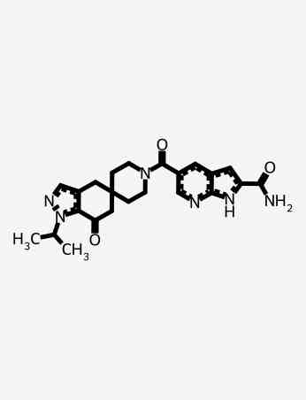 CC(C)n1ncc2c1C(=O)CC1(CCN(C(=O)c3cnc4[nH]c(C(N)=O)cc4c3)CC1)C2